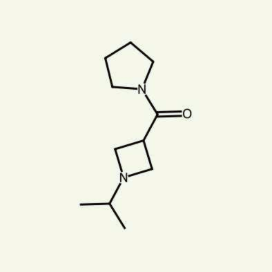 CC(C)N1CC(C(=O)N2CCCC2)C1